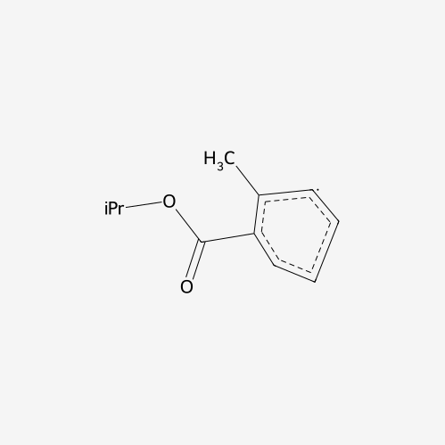 Cc1[c]cccc1C(=O)OC(C)C